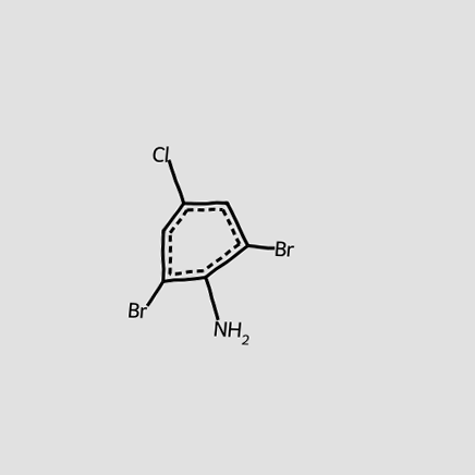 Nc1c(Br)cc(Cl)cc1Br